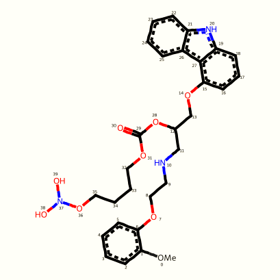 COc1ccccc1OCCNCC(COc1cccc2[nH]c3ccccc3c12)OC(=O)OCCCCON(O)O